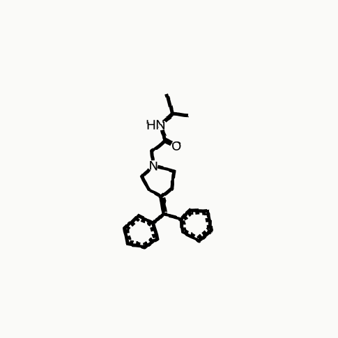 CC(C)NC(=O)CN1CCC(=C(c2ccccc2)c2ccccc2)CC1